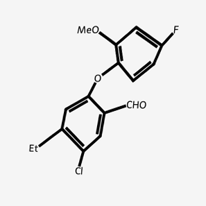 CCc1cc(Oc2ccc(F)cc2OC)c(C=O)cc1Cl